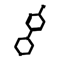 BrC1CC=C(N2CCOCC2)C=N1